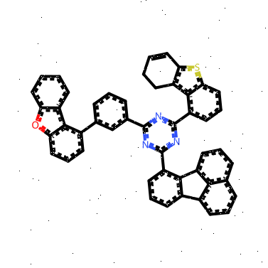 C1=Cc2sc3cccc(-c4nc(-c5cccc(-c6cccc7oc8ccccc8c67)c5)nc(-c5cccc6c5-c5cccc7cccc-6c57)n4)c3c2CC1